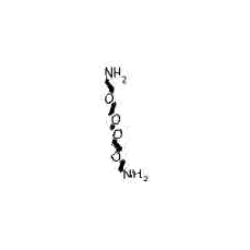 NCCOCCOCOCCOCCN